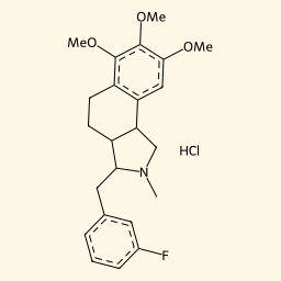 COc1cc2c(c(OC)c1OC)CCC1C2CN(C)C1Cc1cccc(F)c1.Cl